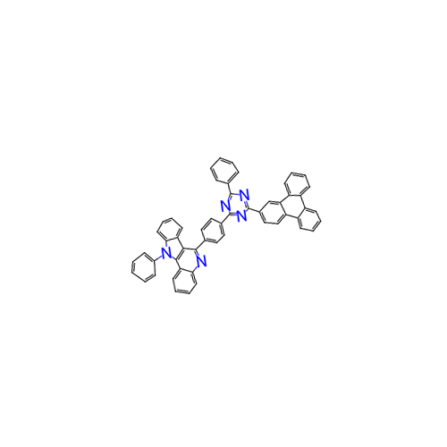 c1ccc(-c2nc(-c3ccc(-c4nc5ccccc5c5c4c4ccccc4n5-c4ccccc4)cc3)nc(-c3ccc4c5ccccc5c5ccccc5c4c3)n2)cc1